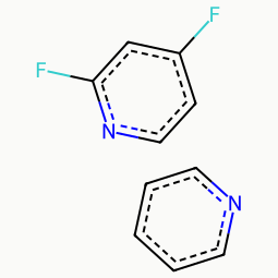 Fc1ccnc(F)c1.c1ccncc1